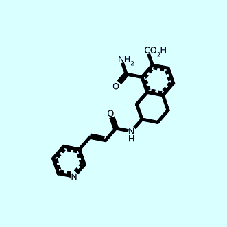 NC(=O)c1c(C(=O)O)ccc2c1CC(NC(=O)C=Cc1cccnc1)CC2